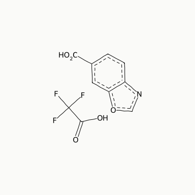 O=C(O)C(F)(F)F.O=C(O)c1ccc2ncoc2c1